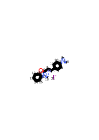 CN(C)c1ccc(/C=C/c2oc3ccccc3[n+]2C)cc1.[I-]